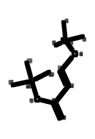 C=C(C=CO[Si](C)(C)C)O[Si](C)(C)C